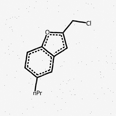 CCCc1ccc2oc(CCl)cc2c1